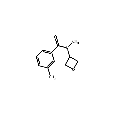 Cc1cccc(C(=O)N(C)C2COC2)c1